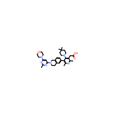 Cc1nc(N2CCOCC2)cc(N2CCc3cc(-c4c(C)nc(C)c(CC(=O)O)c4N4CCC(C)(C)CC4)ccc3C2)n1